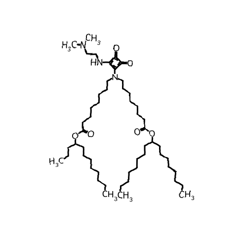 CCCCCCCCC(CCC)OC(=O)CCCCCCCN(CCCCCCCC(=O)OC(CCCCCCCC)CCCCCCCC)c1c(NCCN(C)C)c(=O)c1=O